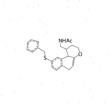 CC(=O)NCC1CCOC2=CCc3ccc(SCc4ccccc4)cc3C21